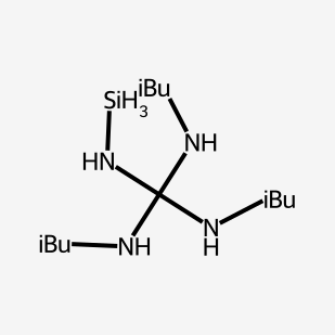 CCC(C)NC(N[SiH3])(NC(C)CC)NC(C)CC